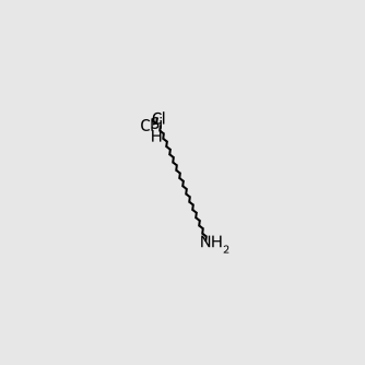 NCCCCCCCCCCCCCCCCCCCCCCCCCCCCC[SiH](Cl)Cl